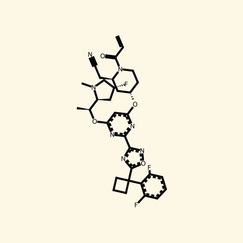 C=CC(=O)N1CC[C@H](Oc2cc(O[C@@H](C)[C@@H]3C[C@@H](F)CN3C)nc(-c3noc(C4(c5c(F)cccc5F)CCC4)n3)n2)C[C@H]1CC#N